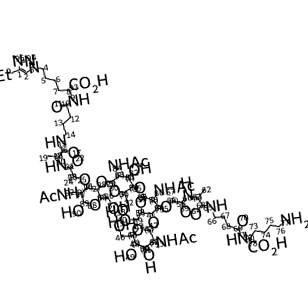 CCc1cn(CCCCC(NC(=O)CCCNC(=O)[C@H](C)NC(=O)[C@@H](C)O[C@H]2C(O[C@@H]3O[C@H](CO)[C@@H](O[C@@H]4O[C@H](CO)C(O[C@@H]5O[C@H](CO)[C@@H](O)[C@H](O)[C@H]5NC(C)=O)[C@H](O[C@H](C)C(=O)N[C@@H](C)C(=O)NCCCC(=O)N[C@@H](CCCCN)C(=O)O)[C@H]4NC(C)=O)[C@H](O)[C@H]3NC(C)=O)[C@@H](CO)OC(O)[C@@H]2NC(C)=O)C(=O)O)nn1